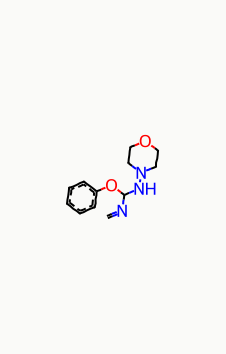 C=NC(NN1CCOCC1)Oc1ccccc1